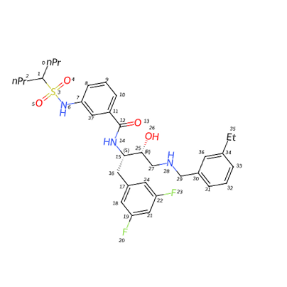 CCCC(CCC)S(=O)(=O)Nc1cccc(C(=O)N[C@@H](Cc2cc(F)cc(F)c2)[C@H](O)CNCc2cccc(CC)c2)c1